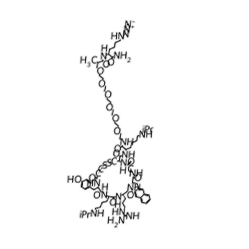 CC(C)NCCCCC(NC(=O)C1CSSCCC(=O)NC(Cc2ccc(O)cc2)C(=O)NC(CCCCNC(C)C)C(=O)N[C@H](CCCNC(=N)N)C(=O)NC(Cc2ccc3ccccc3c2)C(=O)NCC(=O)N1)C(=O)NCCOCCOCCOCCOCCOCCOCC(C)C(=O)NC(CCCCNN=[N+]=[N-])C(N)=O